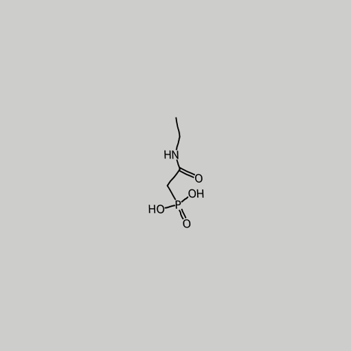 CCNC(=O)CP(=O)(O)O